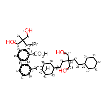 CC(C)CC(C)(CO)CO.O=C(O)c1ccccc1.O=C(O)c1ccccc1.OCC(CO)(CCC1CCCCC1)CCC1CCCCC1